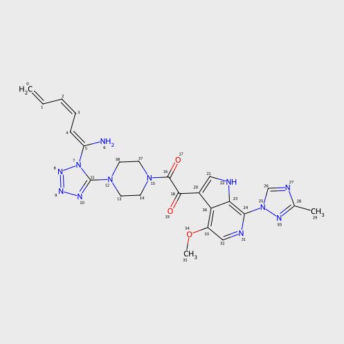 C=C/C=C\C=C(/N)n1nnnc1N1CCN(C(=O)C(=O)c2c[nH]c3c(-n4cnc(C)n4)ncc(OC)c23)CC1